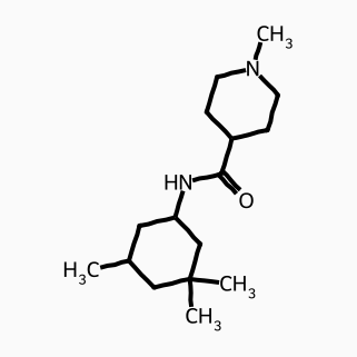 CC1CC(NC(=O)C2CCN(C)CC2)CC(C)(C)C1